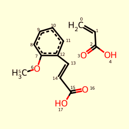 C=CC(=O)O.COc1ccccc1/C=C/C(=O)O